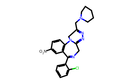 O=[N+]([O-])c1ccc2c(c1)C(c1ccccc1Cl)=NCC1=NN=C(CN3CCCCC3)CN12